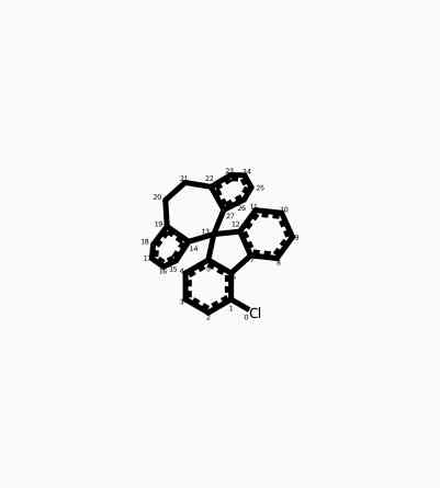 Clc1cccc2c1-c1ccccc1C21c2ccccc2CCc2ccccc21